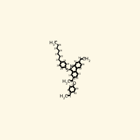 C=Cc1ccc(OC(=C)c2ccc3c(c2)c(Sc2ccc(CCCCCCC)cc2)nc2cc(C=C)ccc23)cc1